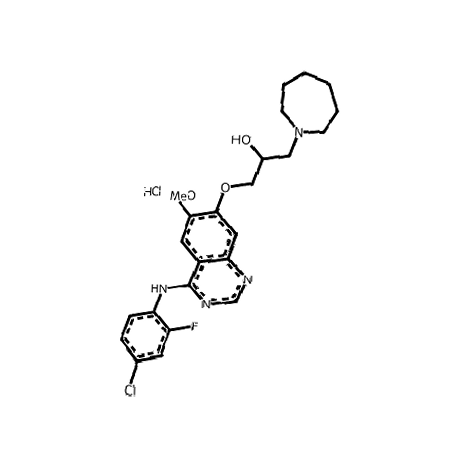 COc1cc2c(Nc3ccc(Cl)cc3F)ncnc2cc1OCC(O)CN1CCCCCC1.Cl